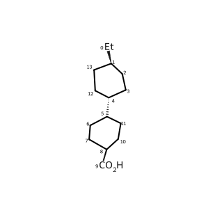 CC[C@H]1CC[C@H](C2CCC(C(=O)O)CC2)CC1